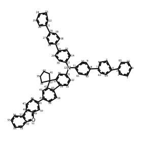 c1ccc(-c2ccc(-c3ccc(N(c4ccc(-c5ccc(-c6ccccc6)cc5)cc4)c4ccc5c(c4)C4(CCCC4)c4cc(-c6ccc7c(c6)oc6ccccc67)ccc4-5)cc3)cc2)cc1